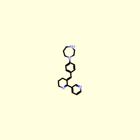 C(=C1CCCN=C1c1cccnc1)c1ccc(N2CCCNCC2)cc1